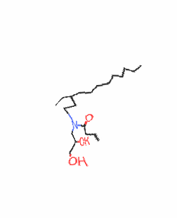 CCCCCCCCCC(CC)CCN(CC(O)CO)C(=O)CCC